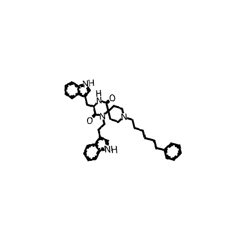 O=C1C(Cc2c[nH]c3ccccc23)NC(=O)C2(CCN(CCCCCCc3ccccc3)CC2)N1CCc1c[nH]c2ccccc12